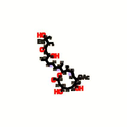 CCC(C)(O)C(C)C1OC1C(O)C(C)/C=C/C=C(\C)C1OC(=O)CC(O)CCC(C)(O)C(OC(C)=O)/C=C/C1C